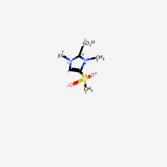 CCN1C=C(S(C)(=O)=O)N(C)C1S(=O)(=O)O